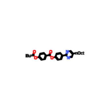 CCCCCCCCc1cnc(-c2ccc(OC(=O)c3ccc(OC(=O)[C@@H](C)CC)cc3)cc2)nc1